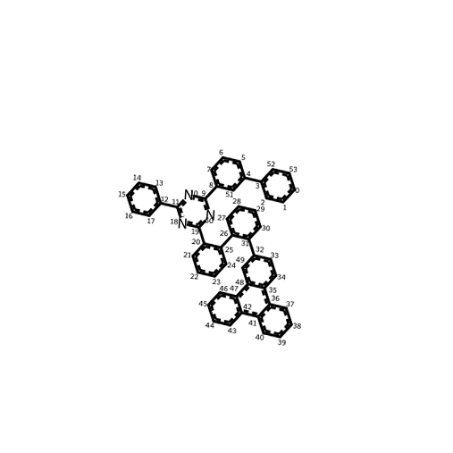 c1ccc(-c2cccc(-c3nc(-c4ccccc4)nc(-c4ccccc4-c4ccccc4-c4ccc5c6ccccc6c6ccccc6c5c4)n3)c2)cc1